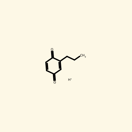 CCCC1=CC(=O)C=CC1=O.[H+]